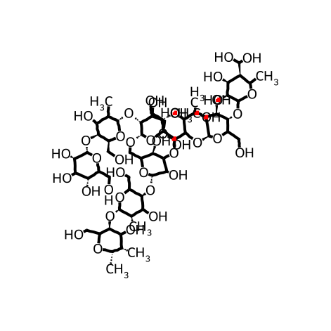 CC1C(O)[C@H](O[C@@H]2OC(CO)[C@H](O)C(O)[C@@H]2O)[C@H](CO)O[C@H]1O[C@@H]1C(O)[C@H](O)C(CO)O[C@@H]1OCC1O[C@@H](O[C@@H]2C(CO)O[C@@H](O[C@@H]3C(CO)O[C@@H](C)[C@@H](C)C3O)[C@@H](C)C2O)[C@H](O)C(OC(OCCO)C(O[C@@H]2OC(CO)[C@@H](OC3OC(C)[C@H](C(O)O)[C@H](O)[C@@H]3O)[C@H](O)C2C)C(O)[C@@H](C)O)[C@@H]1O